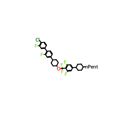 CCCCCC1CCC(c2cc(F)c(C(F)(F)OC3CCC(c4ccc(-c5ccc(Cl)c(F)c5)c(F)c4)CC3)c(F)c2)CC1